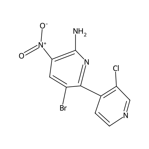 Nc1nc(-c2ccncc2Cl)c(Br)cc1[N+](=O)[O-]